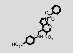 O=C(O)c1ccc(NCc2c([N+](=O)[O-])cnc3c2ccn3S(=O)(=O)c2ccccc2)cc1